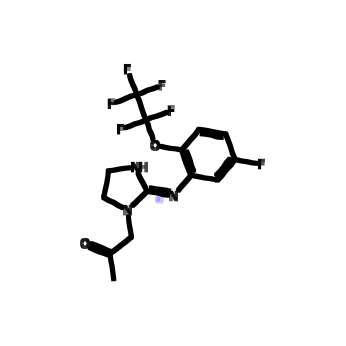 CC(=O)CN1CCN/C1=N\c1cc(F)ccc1OC(F)(F)C(F)(F)F